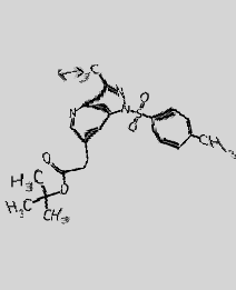 Cc1ccc(S(=O)(=O)n2nc(C)c3ncc(CC(=O)OC(C)(C)C)cc32)cc1